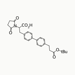 CC(C)(C)OC(=O)CCc1ccc(-c2ccc(CC(C(=O)O)N3C(=O)CCC3=O)cc2)cc1